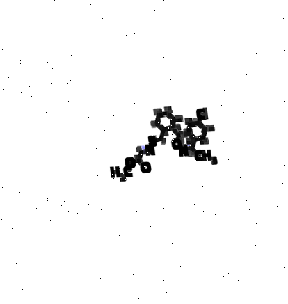 COC(=O)/C=N/SCc1ccccc1CO/N=C(/C)c1ccc(Cl)cc1